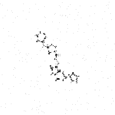 c1ccc(CN2CCC(NCCn3ncc4ccc(-c5ccsc5)cc43)C2)cc1